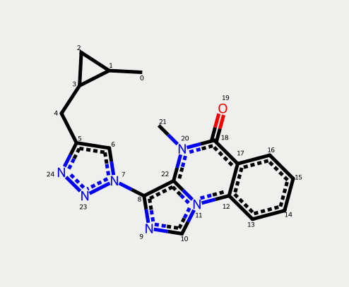 CC1CC1Cc1cn(-c2ncn3c4ccccc4c(=O)n(C)c23)nn1